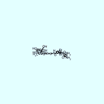 CCn1c(CNC(=O)c2nc(Cl)c(N)nc2N)[n+](CC)c2ccc(C(=O)NCCOCCOCCOCCN(C[C@H](C)[C@@H](O)[C@H](O)[C@H](O)CO)C[C@H](O)[C@@H](O)[C@H](O)CCO)cc21